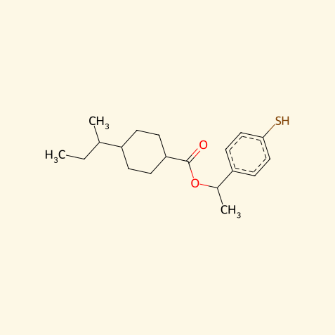 CCC(C)C1CCC(C(=O)OC(C)c2ccc(S)cc2)CC1